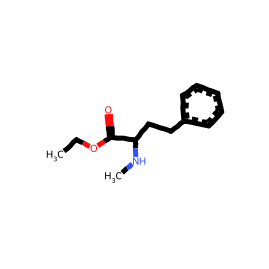 CCOC(=O)C(CCc1ccccc1)NC